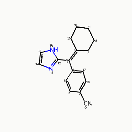 N#Cc1ccc(C(=C2CCCCC2)c2ncc[nH]2)cc1